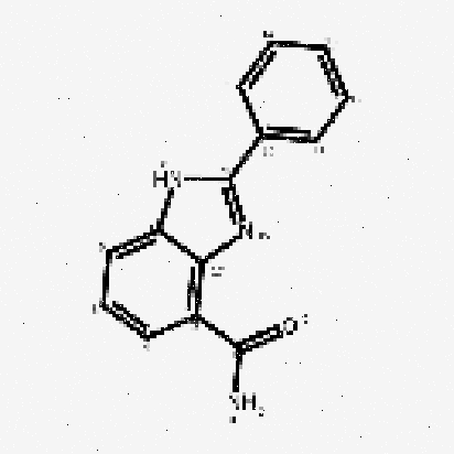 NC(=O)c1cccc2[nH]c(-c3cc[c]cc3)nc12